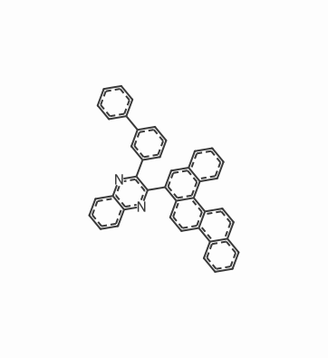 c1ccc(-c2cccc(-c3nc4ccccc4nc3-c3cc4ccccc4c4c3ccc3c5ccccc5ccc34)c2)cc1